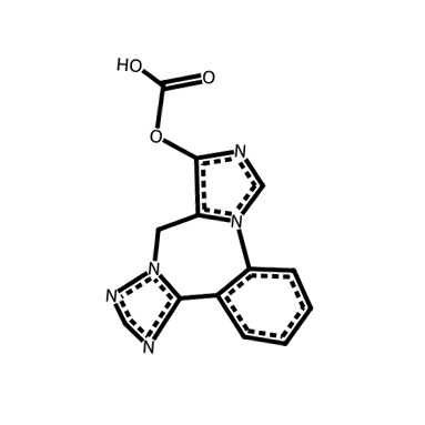 O=C(O)Oc1ncn2c1Cn1ncnc1-c1ccccc1-2